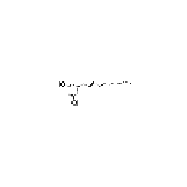 CCCCCCC/C=C/Cc1cc(O)cc(O)c1